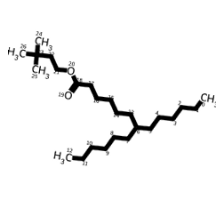 CCCCCCC(CCCCCC)CCCCCC(=O)OCCC(C)(C)C